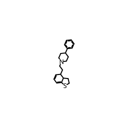 C1=CC(CCN2CCC(c3ccccc3)CC2)C2CCSC2=C1